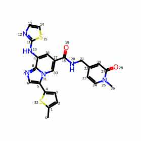 Cc1ccc(-c2cnc3c(Nc4nccs4)cc(C(=O)NCc4ccn(C)c(=O)c4)cn23)s1